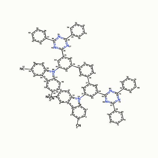 N#Cc1ccc2c(c1)c1cc(C#N)ccc1n2-c1cc(-c2cccc(-c3cc(-c4nc(-c5ccccc5)nc(-c5ccccc5)n4)cc(-n4c5ccc(C#N)cc5c5cc(C#N)ccc54)c3)c2)cc(-c2nc(-c3ccccc3)nc(-c3ccccc3)n2)c1